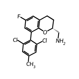 Cc1cc(Cl)c(-c2cc(F)cc3c2O[C@@H](CN)CC3)c(Cl)c1